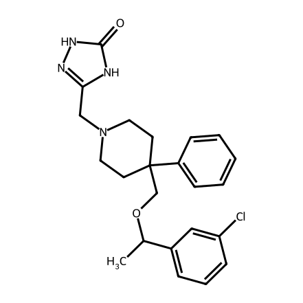 CC(OCC1(c2ccccc2)CCN(Cc2n[nH]c(=O)[nH]2)CC1)c1cccc(Cl)c1